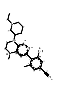 CCN1CCCC(N2CCN(C)c3cc(-c4c(C)cc(C#N)cc4O)nnc32)C1